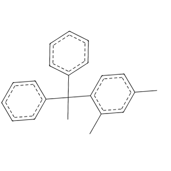 Cc1ccc(C(C)(c2ccccc2)c2ccccc2)c(C)c1